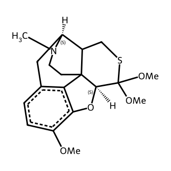 COc1ccc2c3c1O[C@@H]1C(OC)(OC)SCC4[C@H](C2)N(C)CCC341